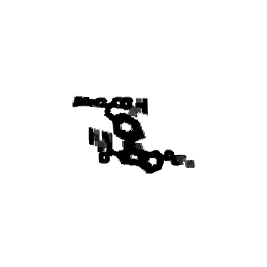 COC(Cc1cccc(-n2c(C(N)=O)cc3ccc(OC(F)(F)F)cc32)c1)C(=O)O